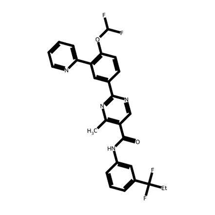 CCC(F)(F)c1cccc(NC(=O)c2cnc(-c3ccc(OC(F)F)c(-c4ccccn4)c3)nc2C)c1